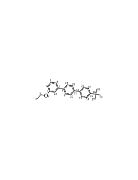 CCOc1cccc(-c2ccc(-c3ccc(C(C)(C)C)cc3)cc2)c1